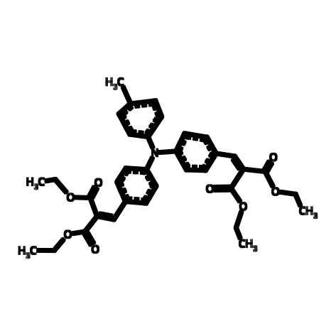 CCOC(=O)C(=Cc1ccc(N(c2ccc(C)cc2)c2ccc(C=C(C(=O)OCC)C(=O)OCC)cc2)cc1)C(=O)OCC